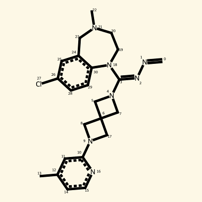 C=N/N=C(/N1CC2(C1)CN(c1cc(C)ccn1)C2)N1CCN(C)Cc2cc(Cl)ccc21